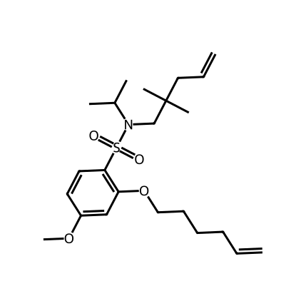 C=CCCCCOc1cc(OC)ccc1S(=O)(=O)N(CC(C)(C)CC=C)C(C)C